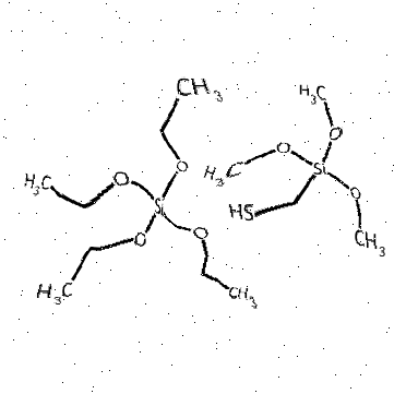 CCO[Si](OCC)(OCC)OCC.CO[Si](CS)(OC)OC